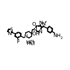 Cl.Cl.Cn1nc2c(=O)n(CC3(O)CCN(Cc4ccc(-c5nccs5)cc4F)CC3)cnc2c1-c1ccc(CN)cc1